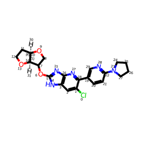 Clc1cc2[nH]c(OC3CO[C@@H]4CCO[C@H]34)nc2nc1-c1ccc(N2CCCC2)nc1